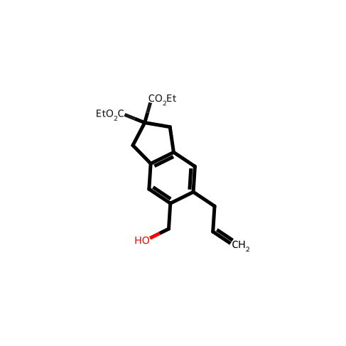 C=CCc1cc2c(cc1CO)CC(C(=O)OCC)(C(=O)OCC)C2